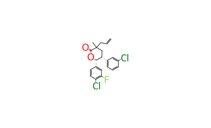 C=CCC1(C)C[C@H](c2cccc(Cl)c2)[C@H](c2ccc(Cl)c(F)c2)OC1=O